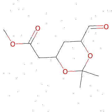 COC(=O)CC1CC(C=O)OC(C)(C)O1